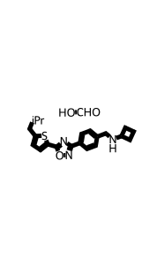 CC(C)Cc1ccc(-c2nc(-c3ccc(CNC4CCC4)cc3)no2)s1.O=CO